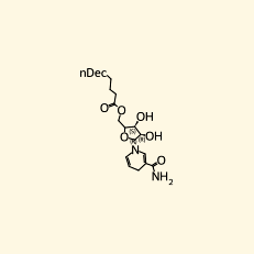 CCCCCCCCCCCCCC(=O)OCC1O[C@@H](N2C=CCC(C(N)=O)=C2)[C@H](O)[C@@H]1O